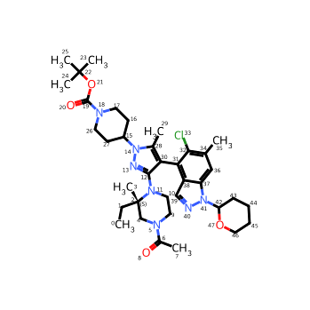 CC[C@@]1(C)CN(C(C)=O)CCN1c1nn(C2CCN(C(=O)OC(C)(C)C)CC2)c(C)c1-c1c(Cl)c(C)cc2c1cnn2C1CCCCO1